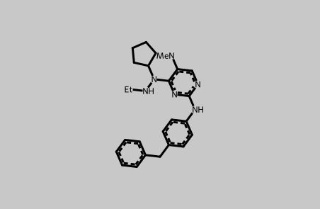 CCNN(c1nc(Nc2ccc(Cc3ccccc3)cc2)ncc1NC)C1CCCC1